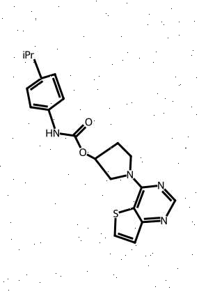 CC(C)c1ccc(NC(=O)OC2CCN(c3ncnc4ccsc34)C2)cc1